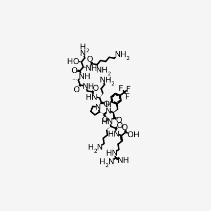 C[C@H](NC(=O)[C@@H](NC(=O)[C@@H](N)CCCCN)[C@@H](O)CN)C(=O)NCC(=O)N[C@H](CCCN)C(=O)N1CCC[C@H]1C(=O)N[C@@H](Cc1cccc(C(F)(F)F)c1)C(=O)N[C@@H](CCCCN)C(=O)N/C(=C\CCNC(=N)N)C(=O)O